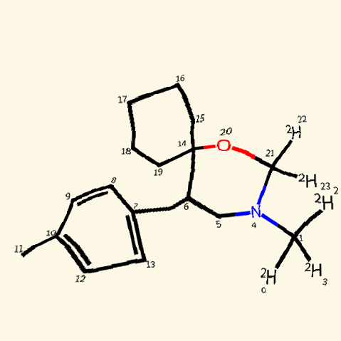 [2H]C([2H])([2H])N1CC(c2ccc(C)cc2)C2(CCCCC2)OC1([2H])[2H]